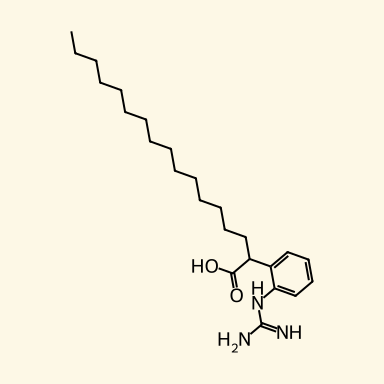 CCCCCCCCCCCCCCCC(C(=O)O)c1ccccc1NC(=N)N